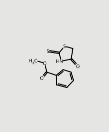 COC(=O)c1ccccc1.O=C1CSC(=S)N1